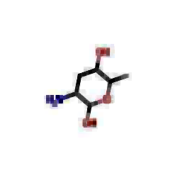 CC1OC(O)C(N)CC1O